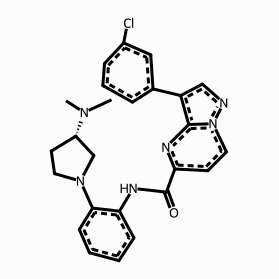 CN(C)[C@H]1CCN(c2ccccc2NC(=O)c2ccn3ncc(-c4cccc(Cl)c4)c3n2)C1